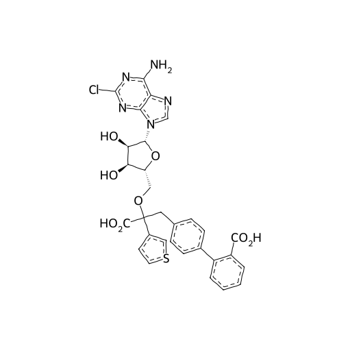 Nc1nc(Cl)nc2c1ncn2[C@@H]1O[C@H](COC(Cc2ccc(-c3ccccc3C(=O)O)cc2)(C(=O)O)c2ccsc2)[C@@H](O)[C@H]1O